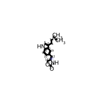 CN(C)CCc1c[nH]c2ccc(/C=C3\COC(=O)N3)cc12